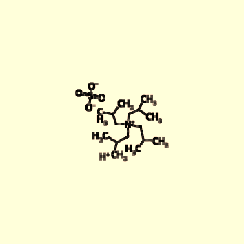 CC(C)C[N+](CC(C)C)(CC(C)C)CC(C)C.O=S(=O)([O-])[O-].[H+]